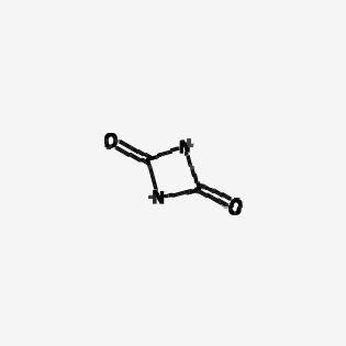 O=C1[N]C(=O)[N]1